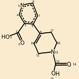 O=C(O)c1cnccc1C1=CCN(C(=O)O)CC1